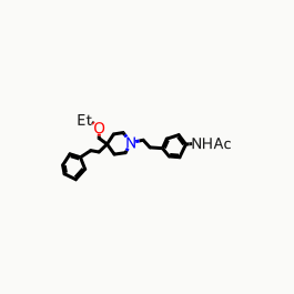 CCOCC1(CCc2ccccc2)CCN(CCc2ccc(NC(C)=O)cc2)CC1